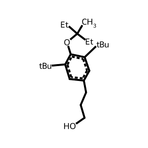 CCC(C)(CC)Oc1c(C(C)(C)C)cc(CCCO)cc1C(C)(C)C